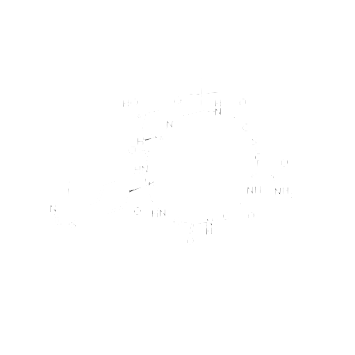 Cc1ncsc1-c1ccc([C@H]2NC(=O)[C@@H]3C[C@H](O)CN3C(=O)C(C(C)(C)C)NC(=O)CSC[C@H](C(N)=O)NC(=O)CNC(=O)CNC2=O)cc1